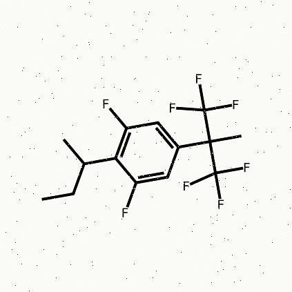 CCC(C)c1c(F)cc(C(C)(C(F)(F)F)C(F)(F)F)cc1F